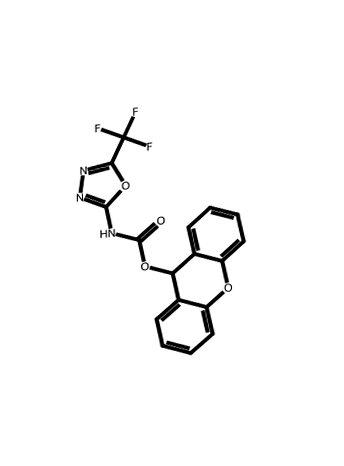 O=C(Nc1nnc(C(F)(F)F)o1)OC1c2ccccc2Oc2ccccc21